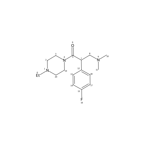 CCN1CCN(C(=O)C(CN(C)C)c2ccc(F)cc2)CC1